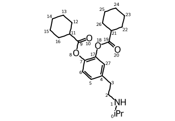 CC(C)NCCc1ccc(OC(=O)C2CCCCC2)c(OC(=O)C2CCCCC2)c1